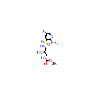 CC(C)(C)OC(=O)NCC(O)CNS(=O)(=O)c1cc(Br)cnc1N